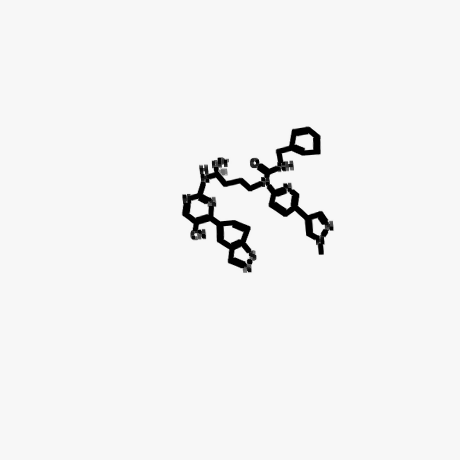 CCC[C@@H](CCCN(C(=O)NCc1ccccc1)c1ccc(-c2cnn(C)c2)cn1)Nc1ncc(C#N)c(-c2ccc3sncc3c2)n1